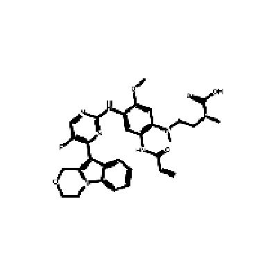 C=CC(=O)Nc1cc(Nc2ncc(F)c(-c3c4n(c5ccccc35)CCOC4)n2)c(OC)cc1N(C)CCN(C)C(=O)O